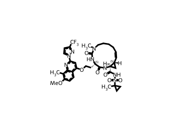 COc1ccc2c(OCC[C@@H]3NC(=O)N(C)CCCCC=C[C@@H]4C[C@@]4(C(=O)NS(=O)(=O)C4(C)CC4)NC3=O)cc(-n3ccc(C(F)(F)F)n3)nc2c1C